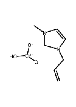 C=CCN1C=CN(C)C1.[O-][Cl+2]([O-])O